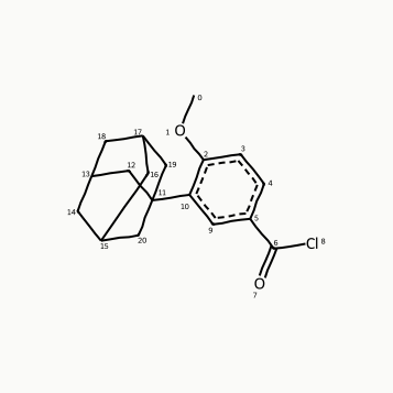 COc1ccc(C(=O)Cl)cc1C12CC3CC(CC(C3)C1)C2